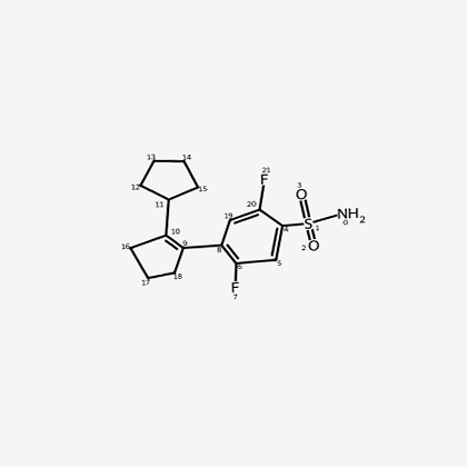 NS(=O)(=O)c1cc(F)c(C2=C(C3CCCC3)CCC2)cc1F